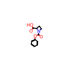 O=C(O)C1CCN1C(=O)Oc1ccccc1